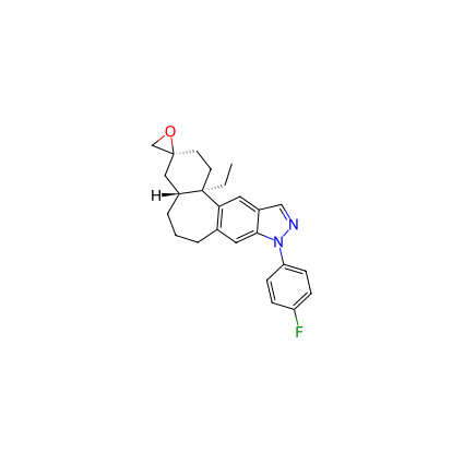 CC[C@@]12CC[C@@]3(CO3)C[C@H]1CCCc1cc3c(cnn3-c3ccc(F)cc3)cc12